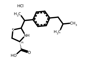 CC(C)Cc1ccc(C(C)C2N[C@H](C(=O)O)CS2)cc1.Cl